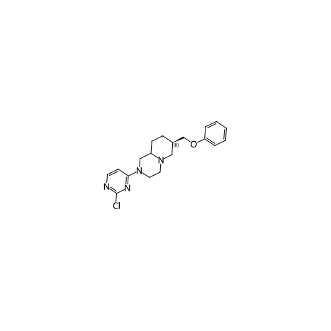 Clc1nccc(N2CCN3C[C@H](COc4ccccc4)CCC3C2)n1